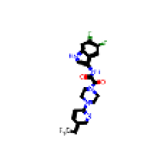 O=C(Nc1c[nH]c2cc(F)c(F)cc12)C(=O)N1CCN(c2ccc(CC(F)(F)F)cn2)CC1